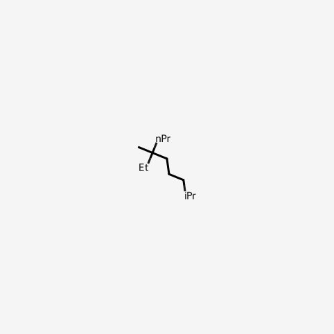 C[CH]CC(C)(CC)CCCC(C)C